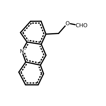 O=COCc1cccc2nc3ccccc3cc12